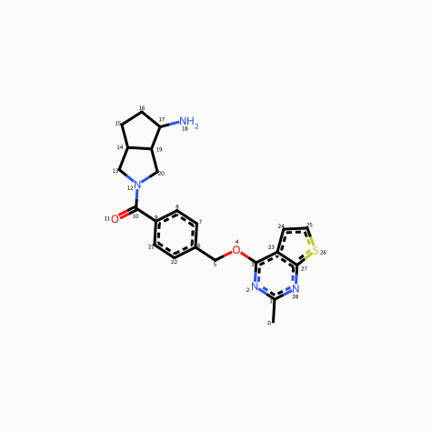 Cc1nc(OCc2ccc(C(=O)N3CC4CCC(N)C4C3)cc2)c2ccsc2n1